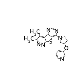 Cc1nnc2sc3c(N4CCC(Oc5cccnc5)C4)ncnc3c2c1C